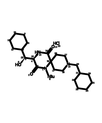 CCCCN1C(=O)[C@@H]([C@H](O)C2CCCCC2)NC(=O)C12CCN(CC1CCCCC1)CC2.Cl